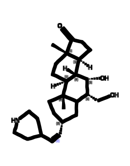 C[C@]12CC[C@@H](/C=C\C3CCNCC3)CC1[C@@H](CO)[C@@H](O)[C@@H]1[C@@H]2CC[C@]2(C)C(=O)CC[C@@H]12